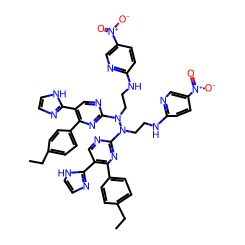 CCc1ccc(-c2nc(N(CCNc3ccc([N+](=O)[O-])cn3)N(CCNc3ccc([N+](=O)[O-])cn3)c3ncc(-c4ncc[nH]4)c(-c4ccc(CC)cc4)n3)ncc2-c2ncc[nH]2)cc1